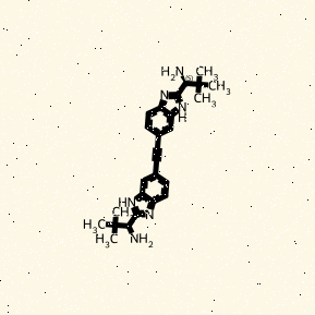 CC(C)(C)C(N)c1nc2ccc(C#Cc3ccc4nc([C@@H](N)C(C)(C)C)[nH]c4c3)cc2[nH]1